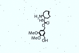 COc1cc(COC(=O)NC2CC/C=C/CCC2N)cc(CO)c1OC